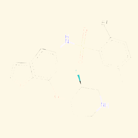 CCc1ccc(C)cc1S(=O)(=O)Nc1cc(O[C@H]2CCNC[C@@H]2F)c2occc2c1